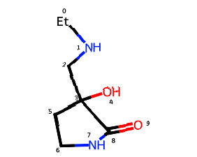 CCNCC1(O)CCNC1=O